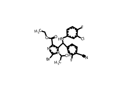 CCOC(=O)c1nc(Br)n(C(C)C)c1C(Nc1ccc(F)c(Cl)c1)c1ccc(C#N)c(F)c1